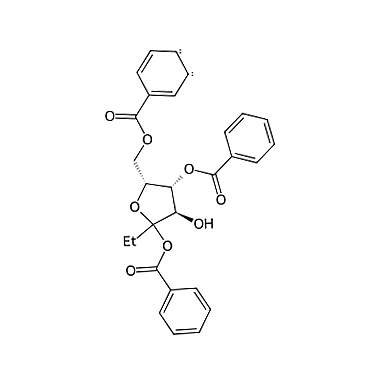 CCC1(OC(=O)c2ccccc2)O[C@H](COC(=O)C2=C[C][C]C=C2)[C@H](OC(=O)c2ccccc2)[C@H]1O